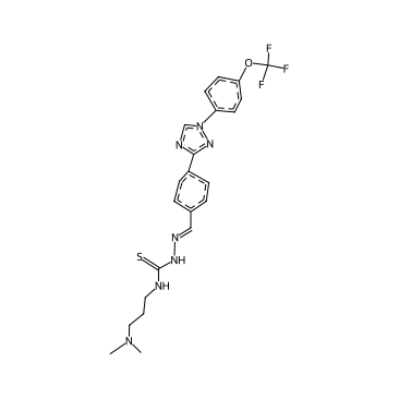 CN(C)CCCNC(=S)N/N=C/c1ccc(-c2ncn(-c3ccc(OC(F)(F)F)cc3)n2)cc1